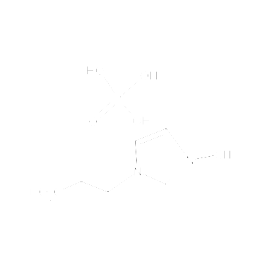 CN1C=CN(CCC(=O)O)C1.O=P(O)(O)O